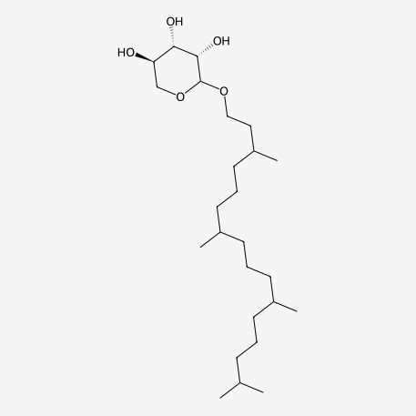 CC(C)CCCC(C)CCCC(C)CCCC(C)CCOC1OC[C@@H](O)[C@H](O)[C@@H]1O